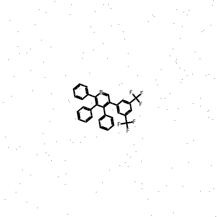 FC(F)(F)c1cc(-c2cbc(-c3ccccc3)c(-c3ccccc3)c2-c2ccccc2)cc(C(F)(F)F)c1